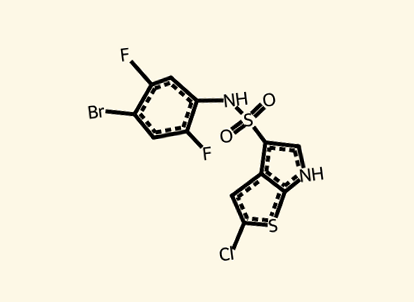 O=S(=O)(Nc1cc(F)c(Br)cc1F)c1c[nH]c2sc(Cl)cc12